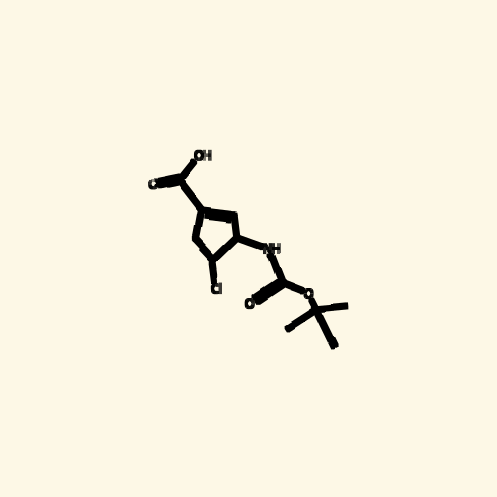 CC(C)(C)OC(=O)NC1C=C(C(=O)O)CC1Cl